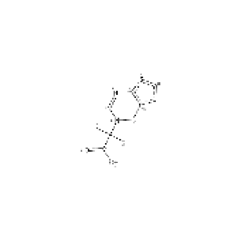 CC(C)(C(=O)O)N1C=Nc2sccc2C1